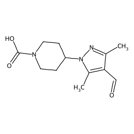 Cc1nn(C2CCN(C(=O)O)CC2)c(C)c1C=O